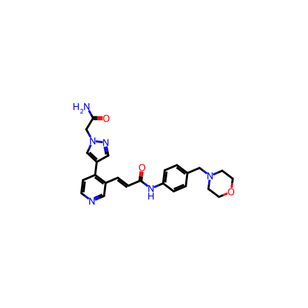 NC(=O)Cn1cc(-c2ccncc2/C=C/C(=O)Nc2ccc(CN3CCOCC3)cc2)cn1